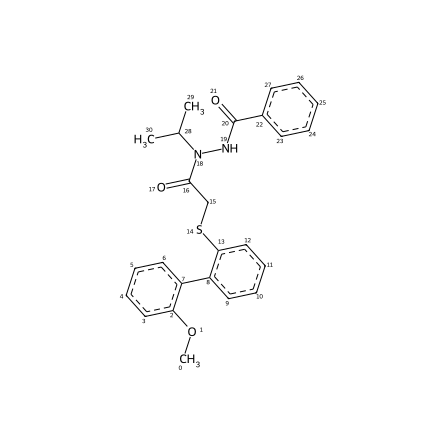 COc1ccccc1-c1ccccc1SCC(=O)N(NC(=O)c1ccccc1)C(C)C